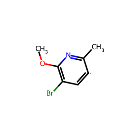 COc1nc(C)[c]cc1Br